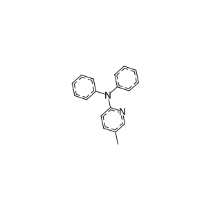 Cc1ccc(N(c2ccccc2)c2ccccc2)nc1